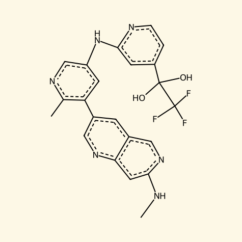 CNc1cc2ncc(-c3cc(Nc4cc(C(O)(O)C(F)(F)F)ccn4)cnc3C)cc2cn1